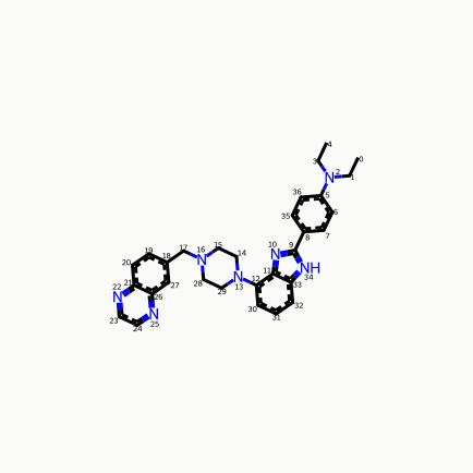 CCN(CC)c1ccc(-c2nc3c(N4CCN(Cc5ccc6nccnc6c5)CC4)cccc3[nH]2)cc1